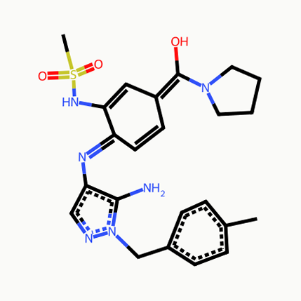 Cc1ccc(Cn2ncc(N=C3C=CC(=C(O)N4CCCC4)C=C3NS(C)(=O)=O)c2N)cc1